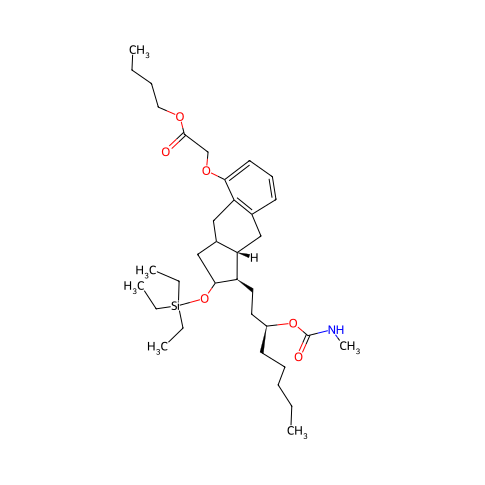 CCCCC[C@@H](CC[C@H]1C(O[Si](CC)(CC)CC)CC2Cc3c(cccc3OCC(=O)OCCCC)C[C@@H]21)OC(=O)NC